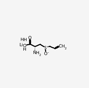 C=CC[S+]([O-])C[C@H](N)C(=O)O.[HH].[Li]